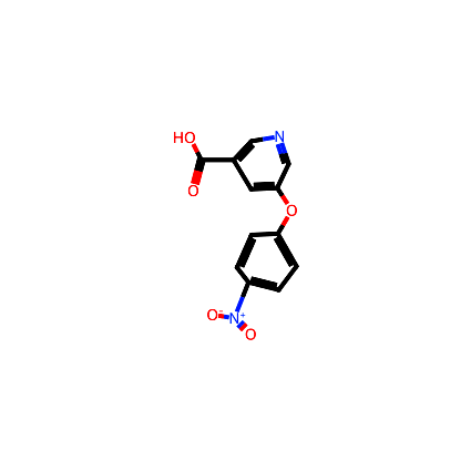 O=C(O)c1cncc(Oc2ccc([N+](=O)[O-])cc2)c1